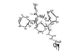 N#CN=C(N)N(c1cccc(/C(=C\CCCC(=O)O)c2cccnc2)c1)C1CCCCCC1